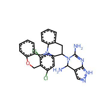 NC1=Nc2[nH]ncc2C(N)N1C1Cc2ccccc2N(Cc2ccccc2OCc2c(Cl)cccc2Cl)C1